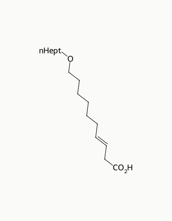 CCCCCCCOCCCCCCC=CCC(=O)O